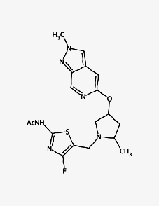 CC(=O)Nc1nc(F)c(CN2CC(Oc3cc4cn(C)nc4cn3)CC2C)s1